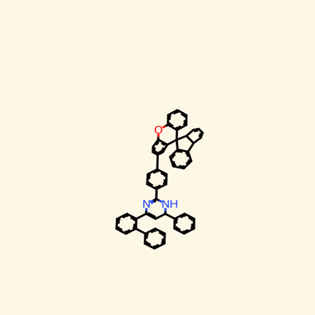 C1=CC2c3ccccc3C3(c4ccccc4Oc4ccc(-c5ccc(C6=NC(c7ccccc7-c7ccccc7)=CC(c7ccccc7)N6)cc5)cc43)C2C=C1